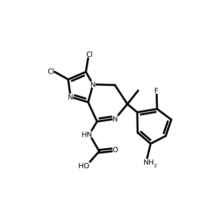 CC1(c2cc(N)ccc2F)Cn2c(nc(Cl)c2Cl)C(NC(=O)O)=N1